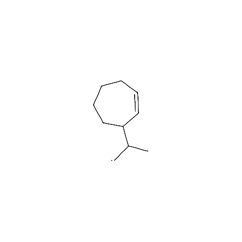 [CH2]C(C)C1C=CCCCC1